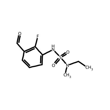 CCN(C)S(=O)(=O)Nc1cccc(C=O)c1F